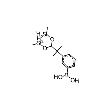 C[SiH2]OC(O[SiH2]C)C(C)(C)c1cccc(B(O)O)c1